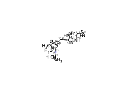 CCCNc1nc(Nc2ccc3scnc3c2)ncc1C#CCCCNC(=O)[C@H](C)N(C)C(=O)/C=C/CN(C)C